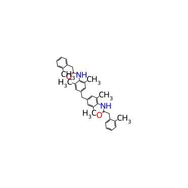 Cc1ccccc1CC(=O)Nc1c(C)cc(Cc2cc(C)c(NC(=O)Cc3ccccc3C)c(C)c2)cc1C